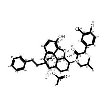 CC(=O)O[C@@]12CC[C@H](N(CC(C)C)C(=O)Cc3ccc(Cl)c(Cl)c3)[C@@H]3Oc4c(O)ccc5c4[C@@]31CCN(CCc1ccccc1)[C@@H]2C5